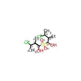 CCC(C(C)Cl)C(O)S(=O)(=O)C(O)C(CC)C(C)Cl